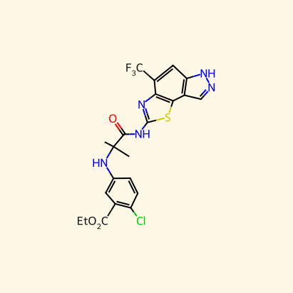 CCOC(=O)c1cc(NC(C)(C)C(=O)Nc2nc3c(C(F)(F)F)cc4[nH]ncc4c3s2)ccc1Cl